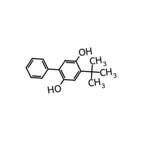 CC(C)(C)c1cc(O)c(-c2ccccc2)cc1O